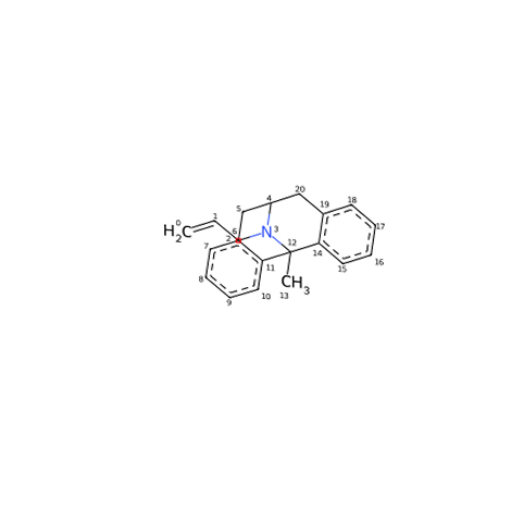 C=CCN1C2Cc3ccccc3C1(C)c1ccccc1C2